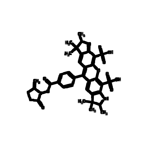 C=C1CCC(=O)N1OC(=O)c1ccc(C2=c3cc4c(c(S(=O)(=O)O)c3Oc3c2cc2c(c3S(=O)(=O)O)NC(C)C2(C)C)=NC(C)C4(C)C)cc1